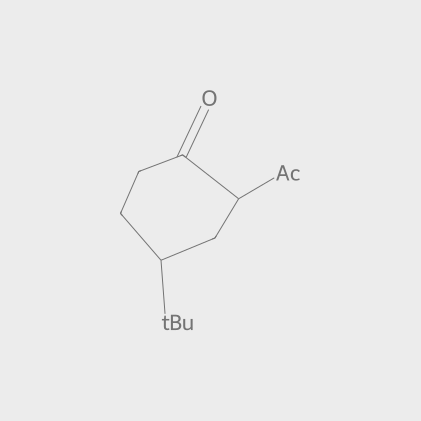 CC(=O)C1CC(C(C)(C)C)CCC1=O